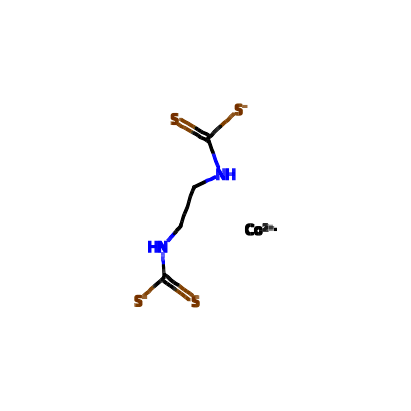 S=C([S-])NCCNC(=S)[S-].[Co+2]